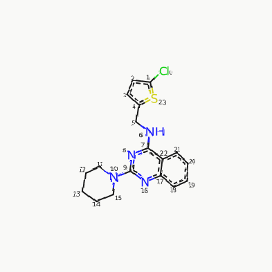 Clc1ccc(CNc2nc(N3CCCCC3)nc3ccccc23)s1